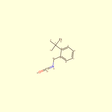 CCC(C)(C)c1ccccc1CN=C=O